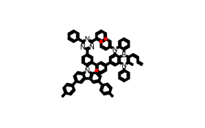 C=C/C=C\C1=C(C)N(c2ccccc2)c2cc(-c3cccc(-c4cc(-c5nc(-c6ccccc6)nc(-c6ccccc6)n5)ccc4-n4c5ccc(-c6ccc(C)cc6)cc5c5cc(-c6ccc(C)cc6)ccc54)c3)cc3c2B1c1ccccc1N3c1ccccc1